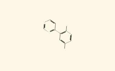 Fc1ccc(Br)cc1-c1ccncn1